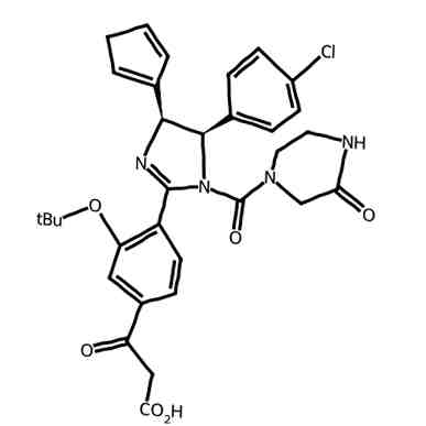 CC(C)(C)Oc1cc(C(=O)CC(=O)O)ccc1C1=N[C@@H](C2=CCC=C2)[C@@H](c2ccc(Cl)cc2)N1C(=O)N1CCNC(=O)C1